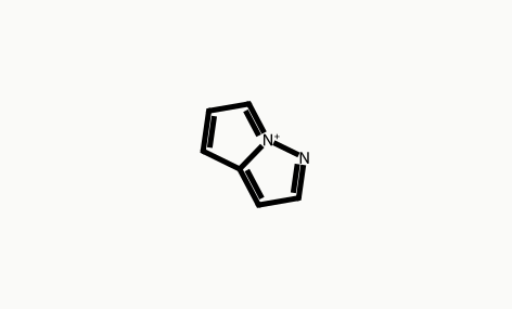 C1=CC2=CC=N[N+]2=C1